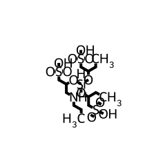 CCCNCC(CS(=O)(=O)O)O[SiH](OC(CC)CS(=O)(=O)O)OC(CC)CS(=O)(=O)O